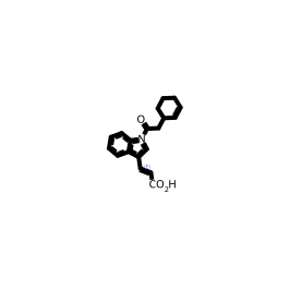 O=C(O)/C=C/c1cn(C(=O)CC2C=CCCC2)c2ccccc12